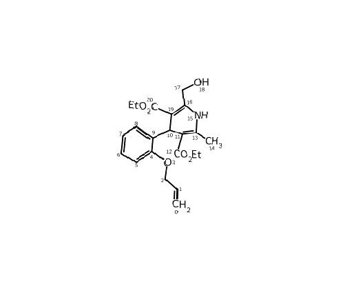 C=CCOc1ccccc1C1C(C(=O)OCC)=C(C)NC(CO)=C1C(=O)OCC